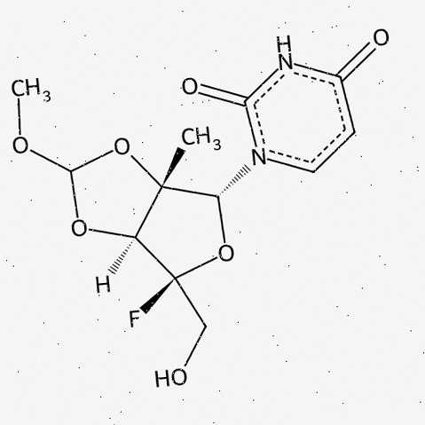 COC1O[C@H]2[C@](C)(O1)[C@H](n1ccc(=O)[nH]c1=O)O[C@]2(F)CO